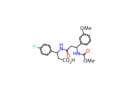 COC(=O)NC(CC(=O)NC(CC(=O)O)c1ccc(F)cc1)c1cccc(OC)c1